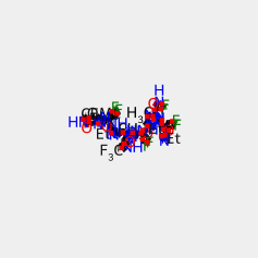 CCn1nc(CN(C)c2cc3nc([C@@H](NC(=O)c4cc(CN(C)c5cc6nc([C@@H](NC(=O)c7ccnn7CC)C7CCC(F)(F)CC7)cn6nc5CC5CC(F)(F)CNC5=O)nn4CC)C4CCC(F)(F)CC4)cn3nc2CC2C[C@@H](C(F)(F)F)CNC2=O)cc1C(=O)N[C@H](c1cn2nc(CC3C[C@@H](C(F)(F)F)CNC3=O)c(COC)cc2n1)C1CCC(F)(F)CC1